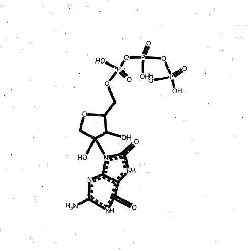 Nc1nc2c([nH]c(=O)n2C2(O)COC(COP(=O)(O)OP(=O)(O)OP(=O)(O)O)C2O)c(=O)[nH]1